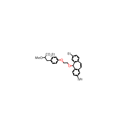 CCCc1ccc2c(c1)C=Cc1ccc(CC)cc1C2OCCOc1ccc(CC(OC)C(=O)OCC)cc1